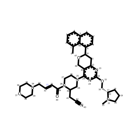 Cc1cccc2cccc(C3Cc4nc(OC[C@@H]5CCCN5C)nc(N5CCN(C(=O)/C=C/CN6CCOCC6)C(CC#N)C5)c4CO3)c12